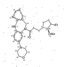 CCC1CCC(CCC(=O)N2Cc3cccnc3Nc3ccc(N4CCOCC4)cc32)[C@@H]1OC